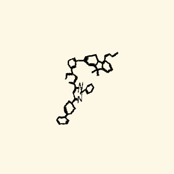 C=C/C=C\c1cccc2c1-c1ccc(C3=CCCC(C(=C/C)/C=C(\C)c4cc(C5CC=C(c6ccccc6)CC5)nc(-c5ccccc5)n4)=C3)cc1C2(C)C